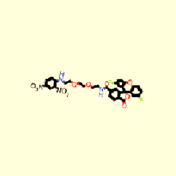 O=C(NCCOCCOCCNc1ccc([N+](=O)[O-])cc1[N+](=O)[O-])c1ccc2c(c1)C1(OC2=O)c2cc(F)[c]cc2Oc2c[c]c(F)cc21